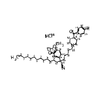 CCCCCCCCCCCCCC(C#N)(CCCCCN1CCC(C(=O)c2ccc(F)cc2)CC1)c1ccc(OC)c(OC)c1.Cl